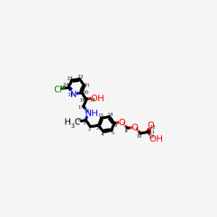 CC(Cc1ccc(OCOCC(=O)O)cc1)NCC(O)c1cccc(Cl)n1